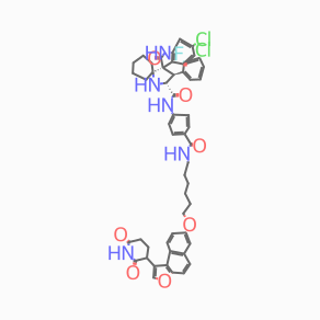 O=C1CCC(c2coc3ccc4cc(OCCCCCCNC(=O)c5ccc(NC(=O)[C@@H]6NC7(CCCCC7)[C@@]7(C(=O)Nc8cc(Cl)ccc87)[C@H]6c6cccc(Cl)c6F)cc5)ccc4c23)C(=O)N1